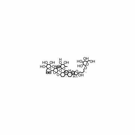 CC1O[C@@H](O[C@H]2C(O)[C@H](O[C@@H]3OC(CO)[C@@H](O)C(O)[C@@H]3O)C(CO)O[C@H]2O[C@H]2CC[C@@]3(C)C(=CC[C@H]4[C@@H]5CC6OC(O)(CC[C@@H](C)CO[C@@H]7OC(CO)[C@@H](O)C(O)[C@@H]7O)[C@@H](C)[C@@H]6[C@@]5(C)CC[C@@H]43)C2)[C@@H](O)C(O)[C@H]1O